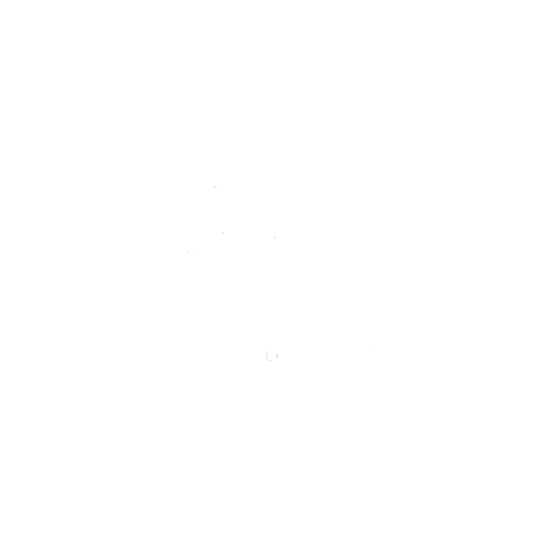 CCCOC(=O)CC(COCC)OCC